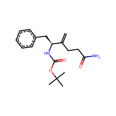 C=C(CCC(N)=O)[C@H](Cc1ccccc1)NC(=O)OC(C)(C)C